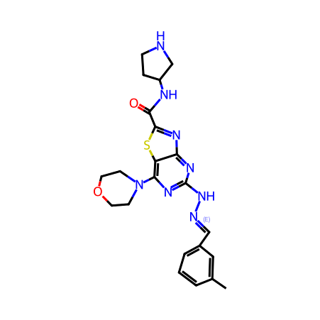 Cc1cccc(/C=N/Nc2nc(N3CCOCC3)c3sc(C(=O)NC4CCNC4)nc3n2)c1